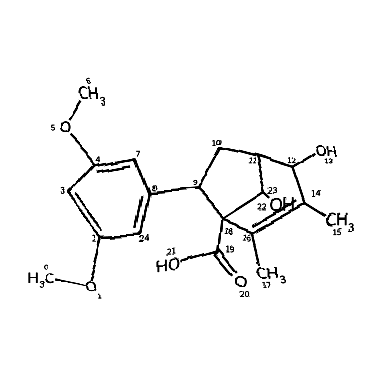 COc1cc(OC)cc(C2CC3C(O)C(C)=C(C)C2(C(=O)O)C3O)c1